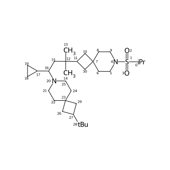 CC(C)S(=O)(=O)N1CCC2(CC1)CC(C(C)(C)CC(C1CC1)N1CCC3(CC1)CC(C(C)(C)C)C3)C2